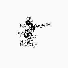 CC[C@@H]1C[C@H](Nc2ncc(OCCOCCO)c(Cc3cc(C(F)(F)F)cc(C(F)(F)F)c3)n2)c2nc(C(F)(F)F)ccc2N1C(=O)OCC(C)(C)C(=O)O